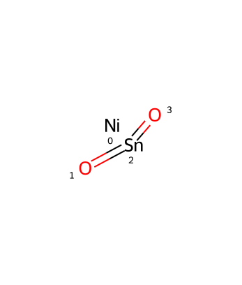 [Ni].[O]=[Sn]=[O]